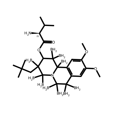 BC1(B)c2cc(OC)c(OC)cc2C2(B)N(C1(B)B)C(B)(B)C(B)(CC(C)(C)C)C(OC(=O)[C@@H](N)C(C)C)C2(B)B